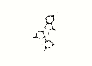 COc1ccc2c(c1)C(=O)N(C[C@@]1(c3ccnc(S)n3)NC(=O)NC1=O)C2